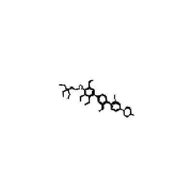 CCc1cc(-c2cc(CC)c(OCCC(CC)(CC)CC)c(CC)c2CC)ccc1-c1ccc(C2CCC(C)CC2)cc1F